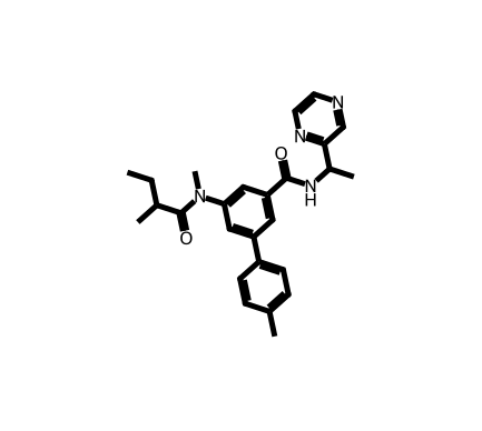 CCC(C)C(=O)N(C)c1cc(C(=O)NC(C)c2cnccn2)cc(-c2ccc(C)cc2)c1